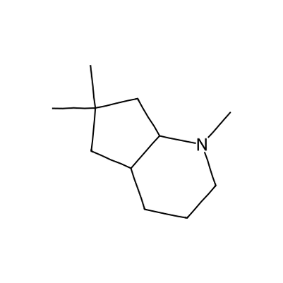 CN1CCCC2CC(C)(C)CC21